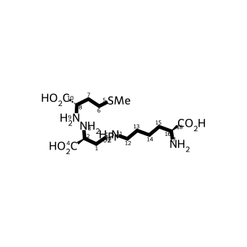 CC(C)C[C@H](N)C(=O)O.CSCC[C@H](N)C(=O)O.NCCCC[C@H](N)C(=O)O